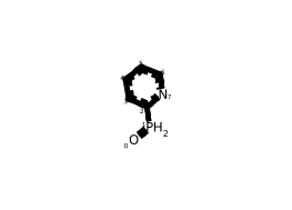 O=[PH2]c1ccccn1